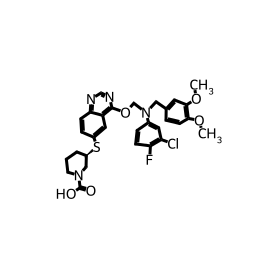 COc1ccc(CN(COc2ncnc3ccc(S[C@@H]4CCCN(C(=O)O)C4)cc23)c2ccc(F)c(Cl)c2)cc1OC